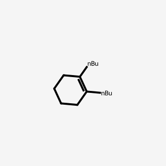 CCCCC1=C(CCCC)CCCC1